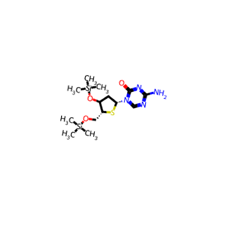 C[Si](C)(C)OC[C@H]1S[C@@H](n2cnc(N)nc2=O)CC1O[Si](C)(C)C